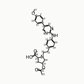 COc1ccc(-c2cnc(Nc3ccc(CCN4CC(OC(C)=O)CC4C(=O)O)cc3)nc2)cc1